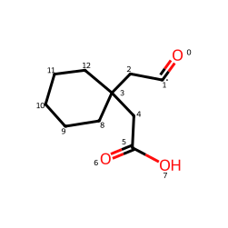 O=[C]CC1(CC(=O)O)CCCCC1